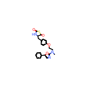 CN(CCOc1ccc(CC2NC(=O)SC2=O)cc1)c1ncc(-c2ccccc2)o1